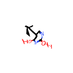 CC(C)(C)c1cnc(O)nc1O